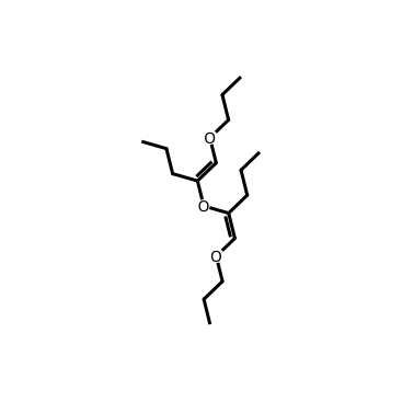 CCCOC=C(CCC)OC(=COCCC)CCC